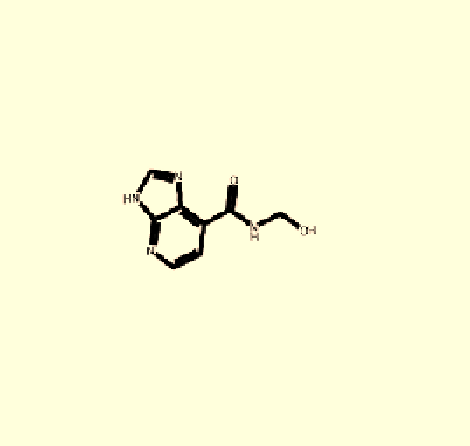 O=C(NCO)c1ccnc2[nH]cnc12